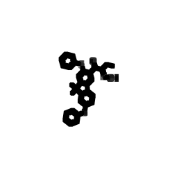 CCC(=NO)C(=O)c1cc2c(cc1Sc1ccccc1)C(C)(C)c1cc(Sc3ccccc3)ccc1-2